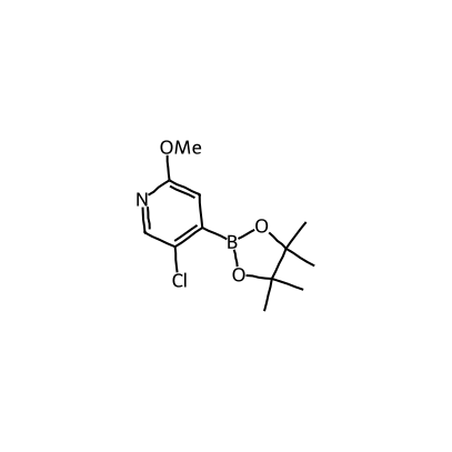 COc1cc(B2OC(C)(C)C(C)(C)O2)c(Cl)cn1